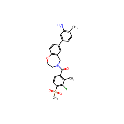 Cc1ccc(-c2ccc3c(c2)CN(C(=O)c2ccc(S(C)(=O)=O)c(F)c2C)CCO3)cc1N